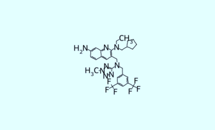 CCN(CC1CCCC1)c1nc2cc(N)ccc2cc1CN(Cc1cc(C(F)(F)F)cc(C(F)(F)F)c1)c1nnn(C)n1